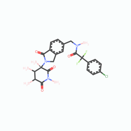 BC1C(=O)N(B)C(=O)[C@@](B)(N2Cc3cc(CN(B)C(=O)C(F)(F)c4ccc(Cl)cc4)ccc3C2=O)C1B